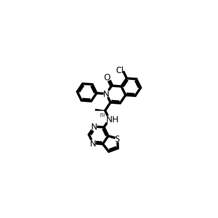 C[C@H](Nc1ncnc2ccsc12)c1cc2cccc(Cl)c2c(=O)n1-c1ccccc1